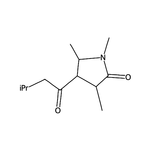 CC(C)CC(=O)C1C(C)C(=O)N(C)C1C